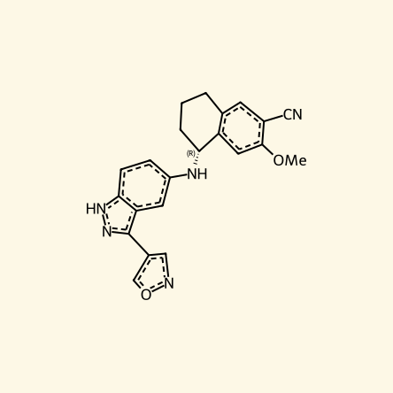 COc1cc2c(cc1C#N)CCC[C@H]2Nc1ccc2[nH]nc(-c3cnoc3)c2c1